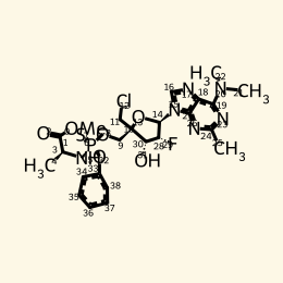 COC(=O)[C@H](C)N[P@@](=S)(OC[C@@]1(CCl)O[C@@H](n2cnc3c(N(C)C)nc(C)nc32)[C@H](F)[C@@H]1O)Oc1ccccc1